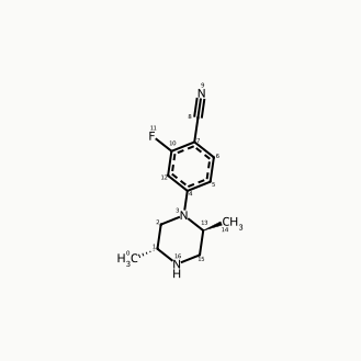 C[C@@H]1CN(c2ccc(C#N)c(F)c2)[C@@H](C)CN1